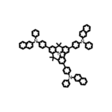 CC1(C)c2cc(-c3ccc(N(c4ccccc4)c4ccc5ccccc5c4)cc3)cc3c2-n2c4c1cc(-c1ccc(N(c5ccccc5)c5ccc6ccccc6c5)cc1)cc4c1cc(-c4ccc(N(c5ccccc5)c5ccc6ccccc6c5)cc4)cc(c12)C3(C)C